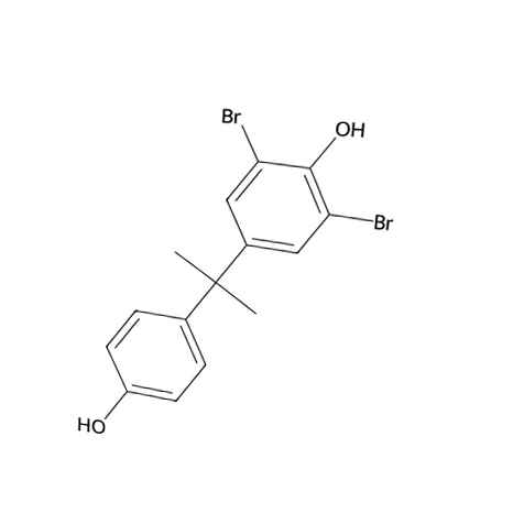 CC(C)(c1ccc(O)cc1)c1cc(Br)c(O)c(Br)c1